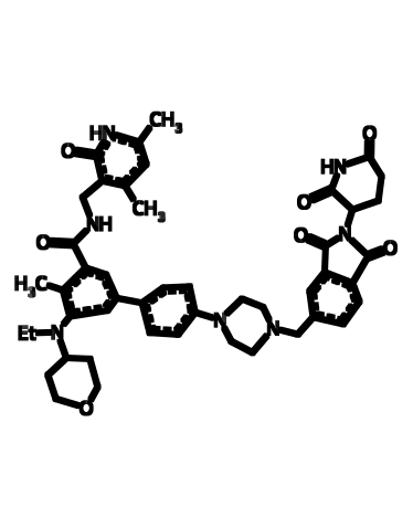 CCN(c1cc(-c2ccc(N3CCN(Cc4ccc5c(c4)C(=O)N(C4CCC(=O)NC4=O)C5=O)CC3)cc2)cc(C(=O)NCc2c(C)cc(C)[nH]c2=O)c1C)C1CCOCC1